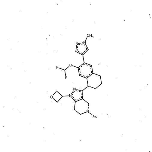 CC(=O)N1CCc2c(c(N3CCCc4cc(-c5cnn(C)c5)c(OC(F)F)cc43)nn2C2COC2)C1